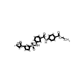 CCOC(=O)c1ccc(NC(=O)c2cccc(NS(=O)(=O)c3ccc(-c4ccon4)s3)c2)cc1